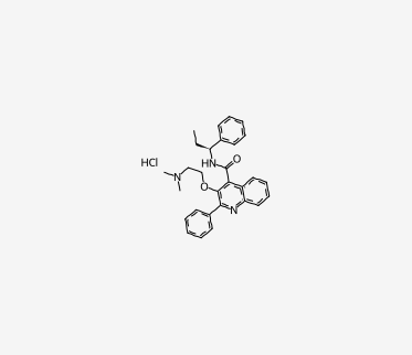 CC[C@H](NC(=O)c1c(OCCN(C)C)c(-c2ccccc2)nc2ccccc12)c1ccccc1.Cl